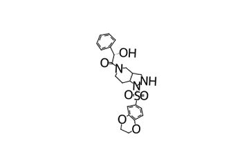 O=C([C@@H](O)c1ccccc1)N1CCC2C(CNN2S(=O)(=O)c2ccc3c(c2)OCCO3)C1